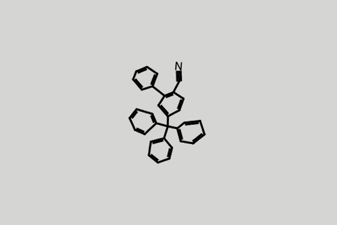 N#Cc1ccc(C(c2ccccc2)(c2ccccc2)c2ccccc2)cc1-c1ccccc1